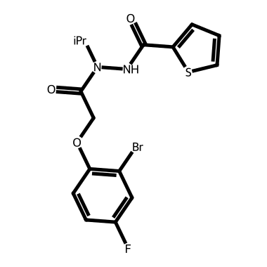 CC(C)N(NC(=O)c1cccs1)C(=O)COc1ccc(F)cc1Br